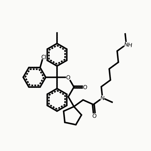 CNCCCCCN(C)C(=O)CC1(CC(=O)OC(c2ccccc2)(c2ccc(C)cc2)c2ccccc2Cl)CCCC1